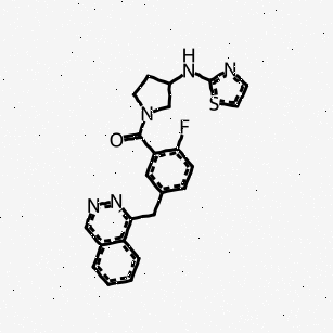 O=C(c1cc(Cc2nncc3ccccc23)ccc1F)N1CCC(Nc2nccs2)C1